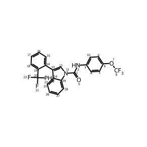 O=C(Nc1ccc(OC(F)(F)F)cc1)n1cc(-c2ccccc2C(F)(F)P)c2ccccc21